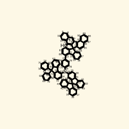 Cc1c(C2(c3ccc4ccccc4c3O)c3ccccc3-c3c(-c4ccc(N(c5ccc6c(c5)C5(c7ccccc7-c7ccccc75)c5ccccc5-6)c5cccc6c5-c5ccccc5C6(c5ccccc5)c5ccccc5)cc4)cccc32)ccc2ccccc12